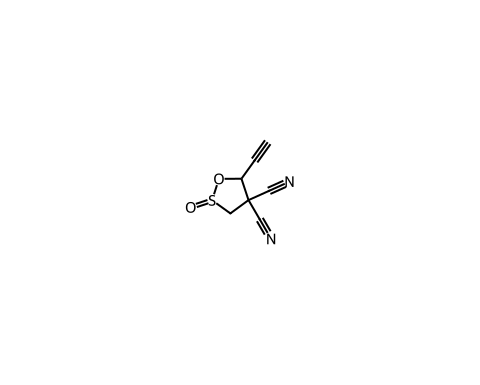 C#CC1OS(=O)CC1(C#N)C#N